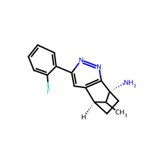 CC1[C@H]2CC[C@]1(N)c1nnc(-c3ccccc3F)cc12